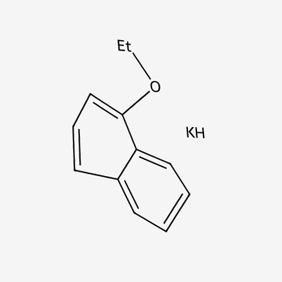 CCOc1cccc2ccccc12.[KH]